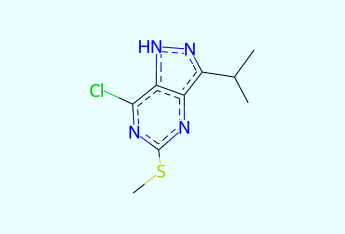 CSc1nc(Cl)c2[nH]nc(C(C)C)c2n1